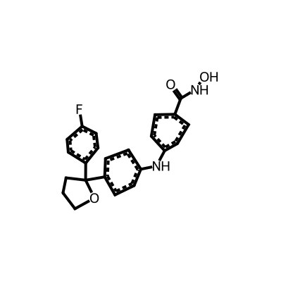 O=C(NO)c1ccc(Nc2ccc(C3(c4ccc(F)cc4)CCCO3)cc2)cc1